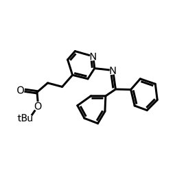 CC(C)(C)OC(=O)CCc1ccnc(N=C(c2ccccc2)c2ccccc2)c1